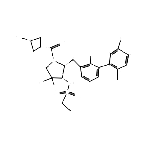 CCS(=O)(=O)N[C@@H]1[C@H](Cc2cccc(-c3cc(F)ccc3F)c2F)N(C(=O)[C@H]2C[C@H](F)C2)CC1(F)F